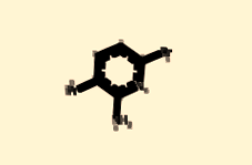 CC(C)c1ccc(Br)nc1N